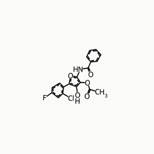 CC(=O)Oc1c(NC(=O)c2ccccc2)oc(-c2ccc(F)cc2Cl)c1O